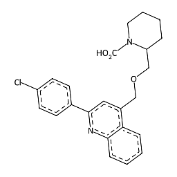 O=C(O)N1CCCCC1COCc1cc(-c2ccc(Cl)cc2)nc2ccccc12